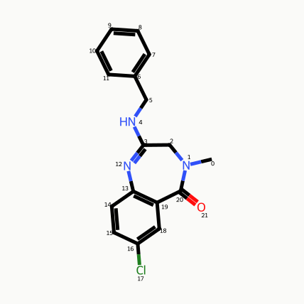 CN1CC(NCc2ccccc2)=Nc2ccc(Cl)cc2C1=O